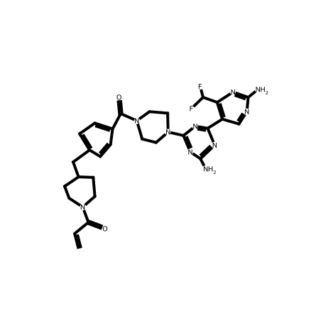 C=CC(=O)N1CCC(Cc2ccc(C(=O)N3CCN(c4nc(N)nc(-c5cnc(N)nc5C(F)F)n4)CC3)cc2)CC1